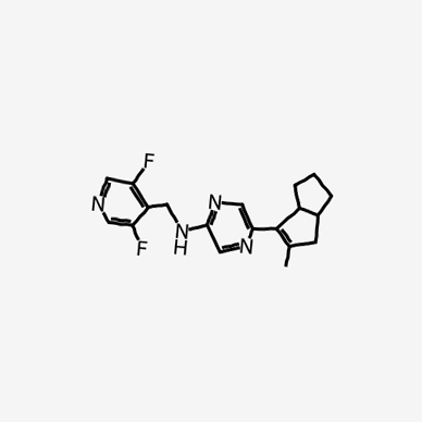 CC1=C(c2cnc(NCc3c(F)cncc3F)cn2)C2CCCC2C1